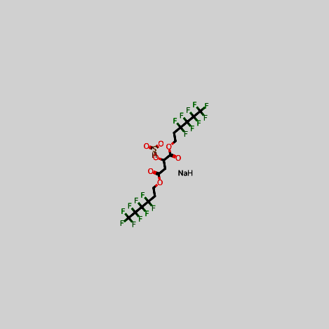 O=C(CC(O[SH](=O)=O)C(=O)OCCC(F)(F)C(F)(F)C(F)(F)C(F)(F)F)OCCC(F)(F)C(F)(F)C(F)(F)C(F)(F)F.[NaH]